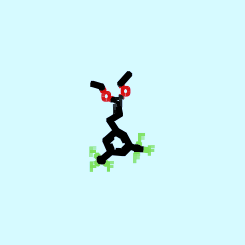 CCO[SiH](CCc1cc(C(F)(F)F)cc(C(F)(F)F)c1)OCC